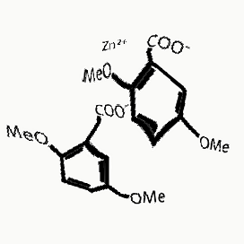 COc1ccc(OC)c(C(=O)[O-])c1.COc1ccc(OC)c(C(=O)[O-])c1.[Zn+2]